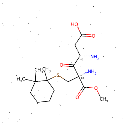 COC(=O)[C@@](N)(CSC1(C)CCCCC1(C)C)C(=O)[C@@H](N)CC(=O)O